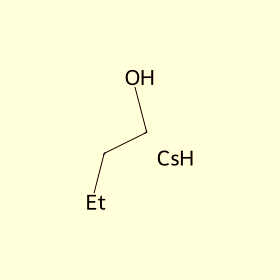 CCCCO.[CsH]